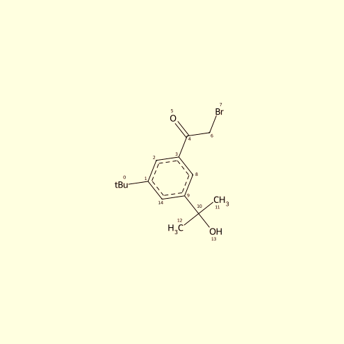 CC(C)(C)c1cc(C(=O)CBr)cc(C(C)(C)O)c1